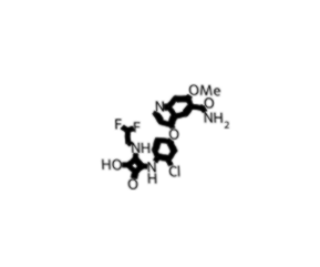 COc1cc2nccc(Oc3ccc(NC4=C(NCC(F)F)C(O)C4=O)c(Cl)c3)c2cc1C(N)=O